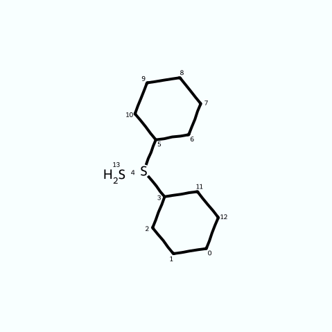 C1CCC(SC2CCCCC2)CC1.S